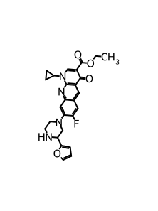 CCOC(=O)c1cn(C2CC2)c2nc3cc(N4CCNC(c5ccco5)C4)c(F)cc3cc2c1=O